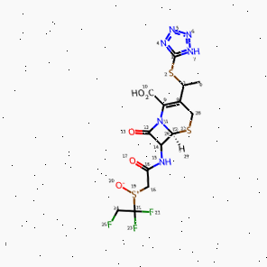 CC(Sc1nnn[nH]1)C1=C(C(=O)O)N2C(=O)C(NC(=O)C[S+]([O-])C(F)(F)CF)[C@@H]2SC1